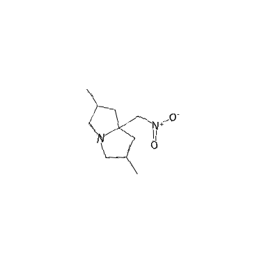 CC1CN2CC(C)CC2(C[N+](=O)[O-])C1